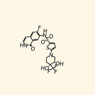 O=c1[nH]ccc2cc(F)c(NS(=O)(=O)c3ccc(N4CCC(O)(C(F)(F)F)C(O)C4)s3)cc12